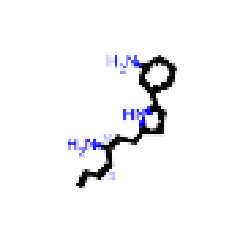 C=C/C=C\C(N)=C/Cc1ccc(-c2cccc(N)c2)[nH]1